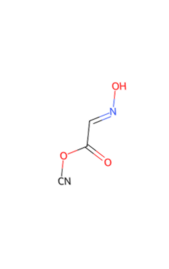 N#COC(=O)C=NO